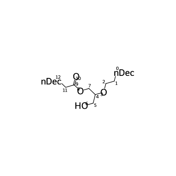 CCCCCCCCCCCCOC(CO)COC(=O)CCCCCCCCCCC